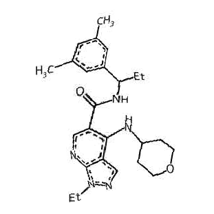 CCC(NC(=O)c1cnc2c(cnn2CC)c1NC1CCOCC1)c1cc(C)cc(C)c1